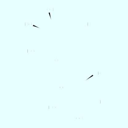 OCC1O[C@H](OCC2OC(O)C(O)[C@@H](O)[C@@H]2O)C(O)[C@@H](O)[C@H]1O